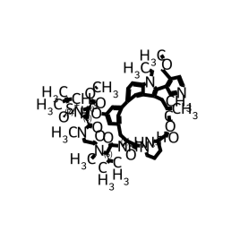 CCn1c(-c2cnccc2COC)c2c3cc(ccc31)-c1cc(O)cc(c1)C[C@H](NC(=O)[C@H](C(C)C)N(C)C(=O)CN(C)C(=O)[C@@H]1[C@H](C(=O)OC)N1[S@@+]([O-])C(C)(C)C)C(=O)N1CCC[C@H](N1)C(=O)OCC(C)(C)C2